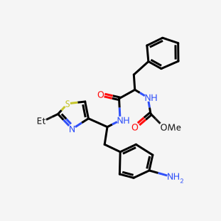 CCc1nc(C(Cc2ccc(N)cc2)NC(=O)C(Cc2ccccc2)NC(=O)OC)cs1